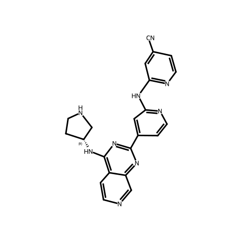 N#Cc1ccnc(Nc2cc(-c3nc(N[C@@H]4CCNC4)c4ccncc4n3)ccn2)c1